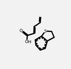 C=CC=CC(=O)O.c1ccc2c(c1)CCS2